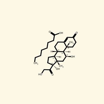 CCCCCCCC(=O)O.C[C@]12CCC(=O)C=C1CC[C@@H]1[C@@H]2[C@@H](O)C[C@@]2(C)[C@H]1CC[C@]2(O)C(=O)CO